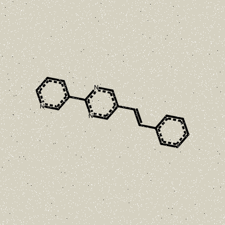 C(=C\c1cnc(-c2cccnc2)nc1)/c1ccccc1